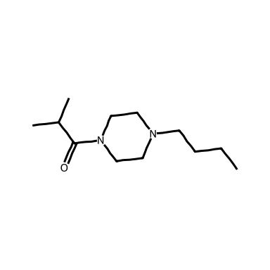 CCCCN1CCN(C(=O)C(C)C)CC1